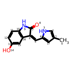 Cc1c[nH]c(C=C2C(=O)Nc3ccc(O)cc32)c1